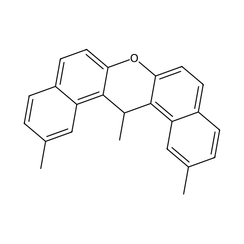 Cc1ccc2ccc3c(c2c1)C(C)c1c(ccc2ccc(C)cc12)O3